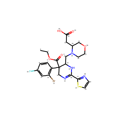 CCOC(=O)C1(c2ccc(F)cc2Br)CN=C(c2nccs2)NC1CN1CCOCC1CC(=O)O